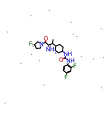 CC(C1CCC(NC(=O)Nc2ccc(F)cc2F)CC1)[C@H](N)C(=O)N1CC[C@H](F)C1